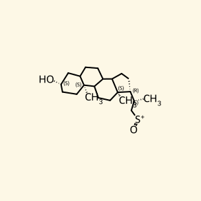 C[C@H](C[S+]=O)[C@H]1CCC2C3CCC4C[C@@H](O)CC[C@]4(C)C3CC[C@@]21C